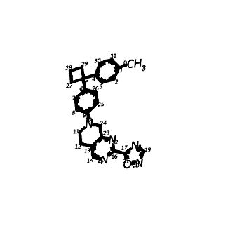 Cc1ccc(C2(c3ccc(N4CCc5cnc(-c6ncno6)nc5C4)cc3)CCC2)cc1